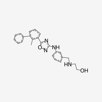 Cc1c(-c2ccccc2)cccc1-c1nc(Nc2cccc(CNCCO)c2)no1